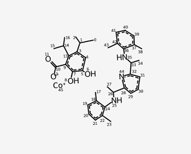 CC(C)c1cc(O)c(O)c(C(=O)[O-])c1C(C)C.Cc1cccc(C)c1NC(C)c1cccc(C(C)Nc2c(C)cccc2C)n1.[Co+]